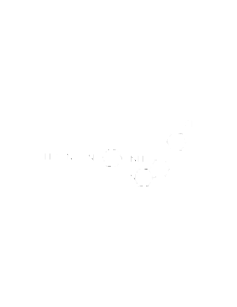 CN1CCN(c2ccc(Nc3nccc4ccc(-c5ccc(Cl)cc5)cc34)cc2)CC1